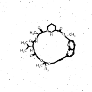 CC(C)[C@@H]1NC(=O)COC(C)(C)OC/C=C/c2ccc3ccc(nc3c2)[C@@H](C)OC(=O)[C@@H]2CCCN(N2)C(=O)[C@H](C)NC1=O